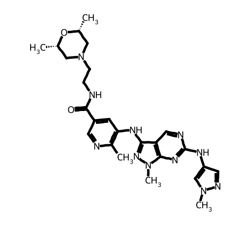 Cc1ncc(C(=O)NCCN2C[C@@H](C)O[C@@H](C)C2)cc1Nc1nn(C)c2nc(Nc3cnn(C)c3)ncc12